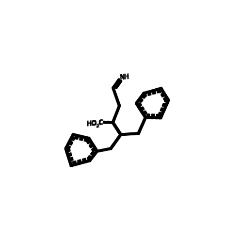 N=CCC(C(=O)O)C(Cc1ccccc1)Cc1ccccc1